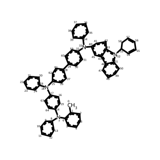 Cc1ccccc1N(c1ccccc1)c1ccc(N(c2ccccc2)c2ccc(-c3ccc(N(c4ccccc4)c4ccc5c(c4)c4ccccc4n5C4C=CC=CC4)cc3)cc2)cc1